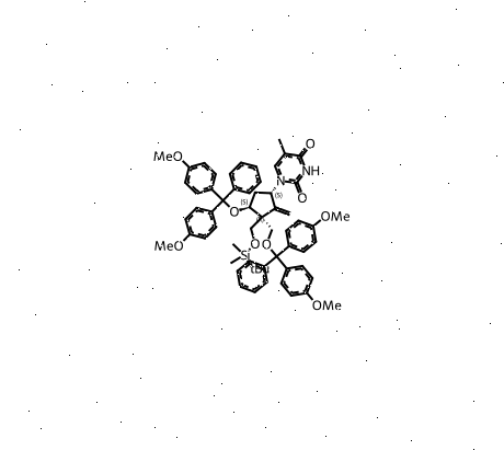 C=C1[C@@H](n2cc(C)c(=O)[nH]c2=O)C[C@H](OC(c2ccccc2)(c2ccc(OC)cc2)c2ccc(OC)cc2)[C@]1(COC(c1ccccc1)(c1ccc(OC)cc1)c1ccc(OC)cc1)CO[Si](C)(C)C(C)(C)C